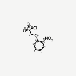 O=[N+]([O-])c1ccccc1OCS(=O)(=O)Cl